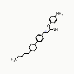 CCCCCC1CCC(c2ccc(/C=C/C(=N)Oc3ccc(N)cc3)cc2)CC1